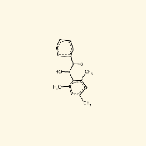 Cc1cc(C)c(C(O)C(=O)c2ccccc2)c(C)c1